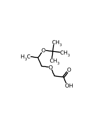 CC(COCC(=O)O)OC(C)(C)C